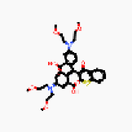 COCCN(CCOC)c1ccc(/C(=C2\C=CC(=[N+](CCOC)CCOC)C=C2C(=O)O)c2csc3ccccc3c2=O)c(C(=O)O)c1